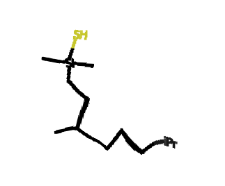 CC(C)CCCC(C)CC[Si](C)(C)S